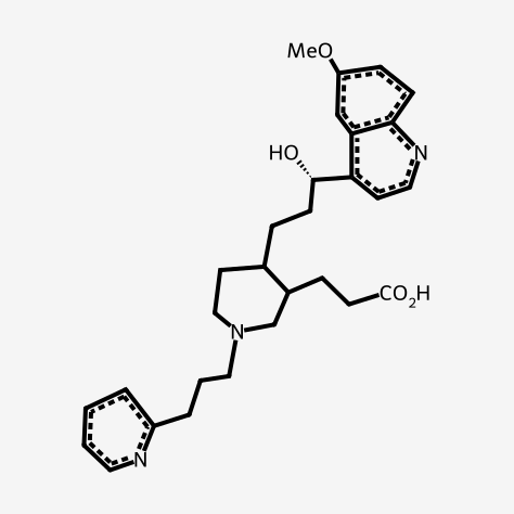 COc1ccc2nccc([C@@H](O)CCC3CCN(CCCc4ccccn4)CC3CCC(=O)O)c2c1